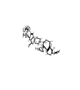 CS(=O)(=O)Nc1ccc2c(c1)C(=O)CC1(CCN([C@@H]3CCc4cc(C#N)ccc4[C@H]3O)CC1)O2